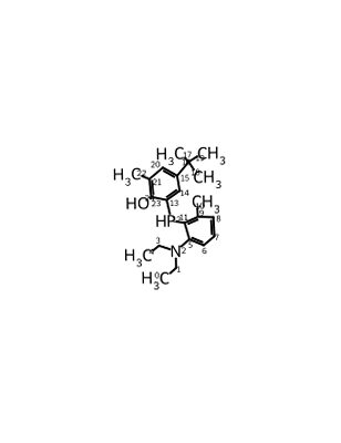 CCN(CC)c1cccc(C)c1Pc1cc(C(C)(C)C)cc(C)c1O